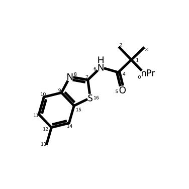 CCCC(C)(C)C(=O)Nc1nc2ccc(C)cc2s1